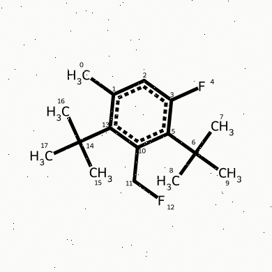 Cc1cc(F)c(C(C)(C)C)c(CF)c1C(C)(C)C